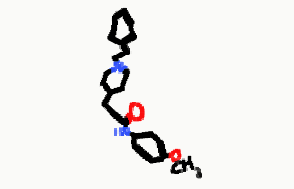 COc1ccc(NC(=O)CC2CCN(CCc3ccccc3)CC2)cc1